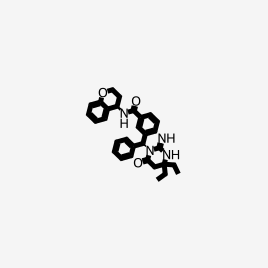 CCC1(CC)CC(=O)N([C@H](c2ccccc2)c2cccc(C(=O)N[C@@H]3CCOc4ccccc43)c2)C(=N)N1